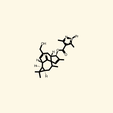 CC1=CC23C(=O)[C@@H](C=C(CO)C[C@@H]2[C@H]1OC(=O)c1c(C)nn(C(C)C)c1C)[C@H]1[C@@H](CC3C)C1(C)C